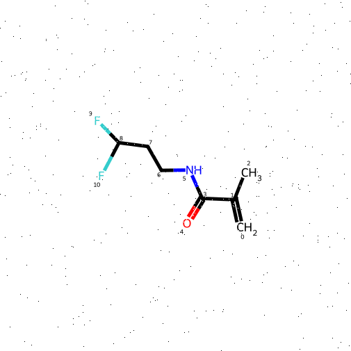 C=C(C)C(=O)NCCC(F)F